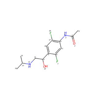 CC(=O)Nc1cc(F)c(C(O)CNC(C)C)cc1F